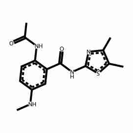 CNc1ccc(NC(C)=O)c(C(=O)Nc2nc(C)c(C)s2)c1